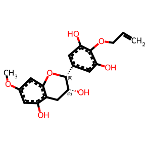 C=CCOc1c(O)cc([C@H]2Oc3cc(OC)cc(O)c3C[C@H]2O)cc1O